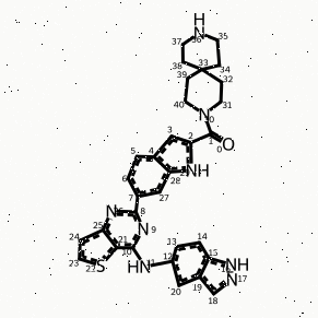 O=C(c1cc2ccc(-c3nc(Nc4ccc5[nH]ncc5c4)c4sccc4n3)cc2[nH]1)N1CCC2(CCNCC2)CC1